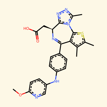 COc1ccc(Nc2ccc(C3=N[C@@H](CC(=O)O)c4nnc(C)n4-c4sc(C)c(C)c43)cc2)cn1